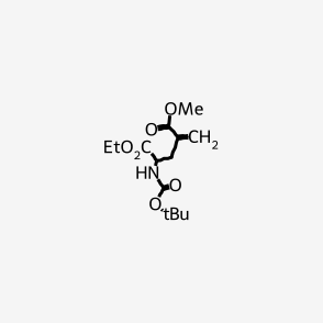 C=C(CC(NC(=O)OC(C)(C)C)C(=O)OCC)C(=O)OC